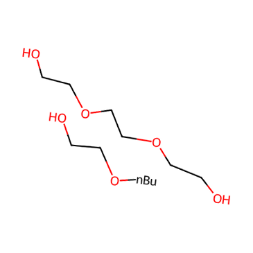 CCCCOCCO.OCCOCCOCCO